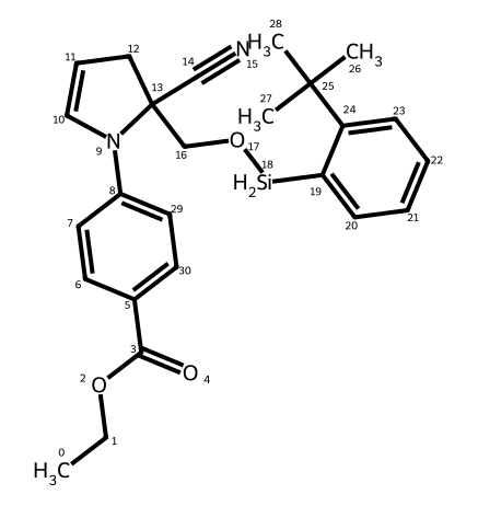 CCOC(=O)c1ccc(N2C=CCC2(C#N)CO[SiH2]c2ccccc2C(C)(C)C)cc1